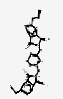 C=CCC1=CC2CC1C1C(=O)N(CC3=CCCC(CN4C(=O)C5C6C=C(CC)C(C6)C5C4=O)=C3)C(=O)C21